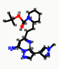 Cn1cc(-c2cnn3c(N)cc(CCC4CCCCN4C(=O)OC(C)(C)C)nc23)cn1